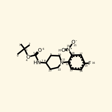 CC(C)(C)OC(=O)NC1CCN(c2ccc(F)cc2[N+](=O)[O-])CC1